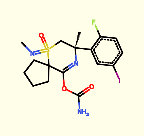 CN=S1(=O)C[C@@](C)(c2cc(I)ccc2F)N=C(OC(N)=O)C12CCCC2